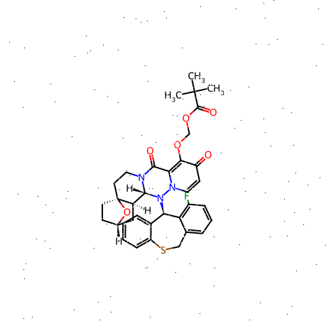 CC(C)(C)C(=O)OCOc1c2n(ccc1=O)N([C@@H]1c3ccccc3SCc3cccc(F)c31)[C@@H]1[C@H]3C[C@@H]4CC[C@@]3(CCN1C2=O)O4